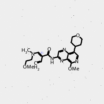 C=C/C(=C\N(C)CCOC)C(=O)Nc1cnc2c(C3CCOCC3)cnc(OC)c2n1